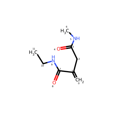 C=C(CC(=O)NC)C(=O)NCC